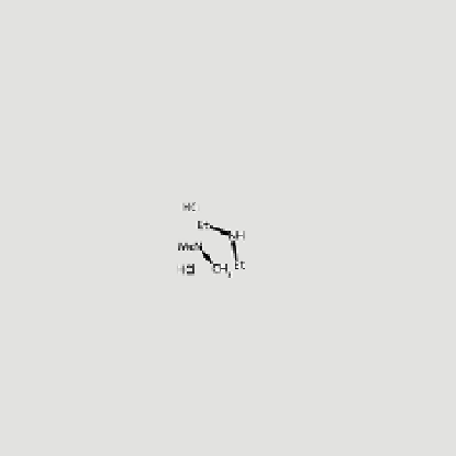 CCNCC.CNC.Cl.Cl